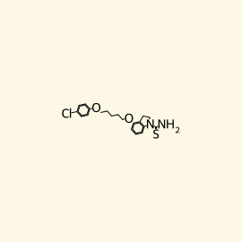 NC(=S)N1CCc2c(OCCCCCOc3ccc(Cl)cc3)cccc21